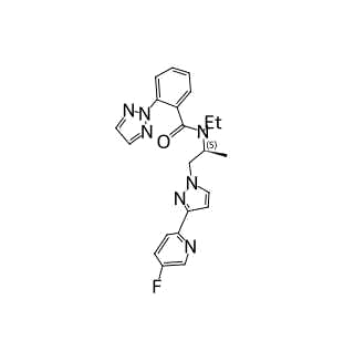 CCN(C(=O)c1ccccc1-n1nccn1)[C@@H](C)Cn1ccc(-c2ccc(F)cn2)n1